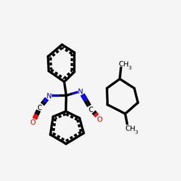 CC1CCC(C)CC1.O=C=NC(N=C=O)(c1ccccc1)c1ccccc1